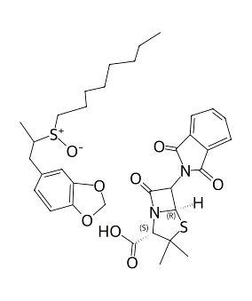 CC1(C)S[C@@H]2C(N3C(=O)c4ccccc4C3=O)C(=O)N2[C@H]1C(=O)O.CCCCCCCC[S+]([O-])C(C)Cc1ccc2c(c1)OCO2